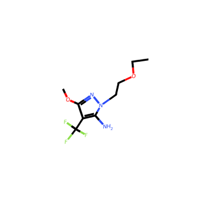 CCOCCn1nc(OC)c(C(F)(F)F)c1N